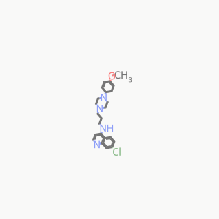 COC1=CCC(N2CCN(CCCNc3ccnc4cc(Cl)ccc34)CC2)C=C1